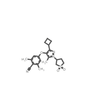 Cc1cc(Oc2c(C3CCC3)nn(C3CCS(=O)(=O)C3)c2C)cc(C)c1C#N